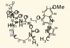 COc1ccc2c(OCC[C@@H]3OC(=O)N(C)CCCC/C=C\[C@@H]4C[C@@]4(C(=O)NS(=O)(=O)C4CC4)NC3=O)cc(-n3ccc(C)n3)nc2c1